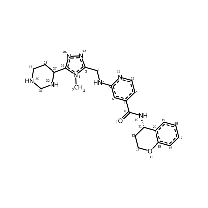 Cn1c(CNc2cc(C(=O)N[C@H]3CCOc4ccccc43)ccn2)nnc1C1CCNCN1